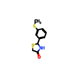 CSc1cccc(C2NC(=O)CS2)c1